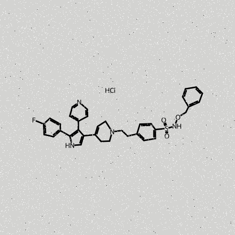 Cl.O=S(=O)(NOCc1ccccc1)c1ccc(CCN2CC=C(c3c[nH]c(-c4ccc(F)cc4)c3-c3ccncc3)CC2)cc1